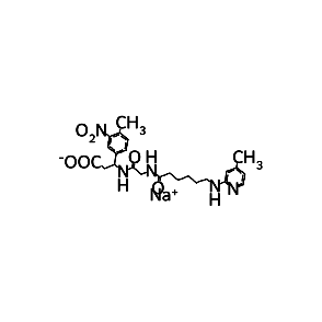 Cc1ccnc(NCCCCCC(=O)NCC(=O)NC(CC(=O)[O-])c2ccc(C)c([N+](=O)[O-])c2)c1.[Na+]